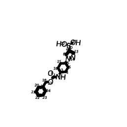 O=C(NC1CCC(n2cc(B(O)O)cn2)CC1)OCc1ccccc1